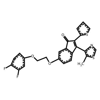 Cc1scnc1C1=C(c2cccs2)C(=O)c2cc(OCCOc3ccc(F)c(F)c3)ccc21